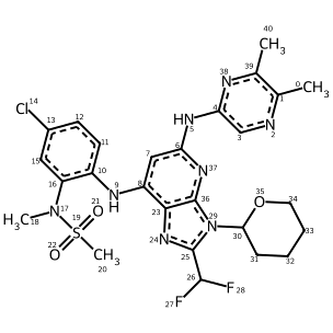 Cc1ncc(Nc2cc(Nc3ccc(Cl)cc3N(C)S(C)(=O)=O)c3nc(C(F)F)n(C4CCCCO4)c3n2)nc1C